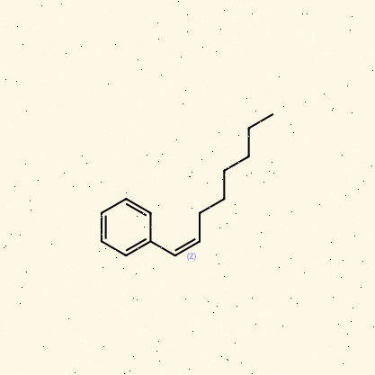 CCCCCC/C=C\c1ccccc1